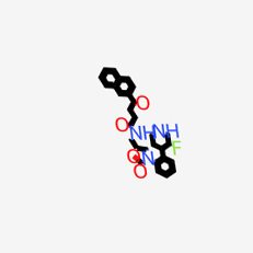 O=C(CCC(=O)c1ccc2ccccc2c1)NCC1CN(c2ccccc2C2CCNC[C@H]2F)C(=O)O1